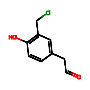 O=CCc1ccc(O)c(CCl)c1